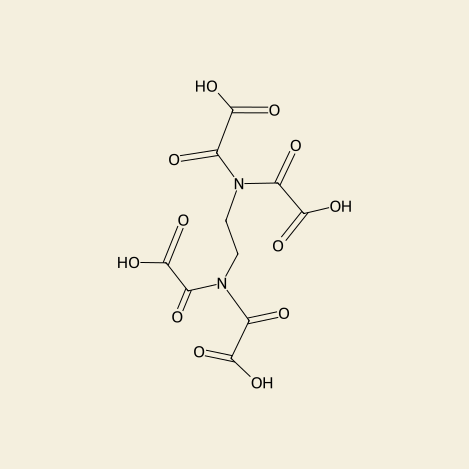 O=C(O)C(=O)N(CCN(C(=O)C(=O)O)C(=O)C(=O)O)C(=O)C(=O)O